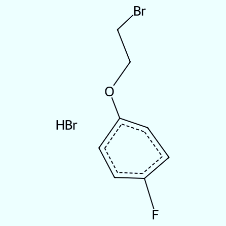 Br.Fc1ccc(OCCBr)cc1